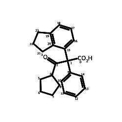 O=C(O)C(C(=O)C1CCCC1)(c1ccccc1)c1cccc2c1CCC2